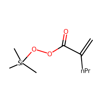 C=C(CCC)C(=O)OO[Si](C)(C)C